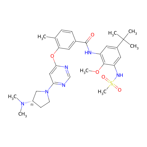 COc1c(NC(=O)c2ccc(C)c(Oc3cc(N4CC[C@H](N(C)C)C4)ncn3)c2)cc(C(C)(C)C)cc1NS(C)(=O)=O